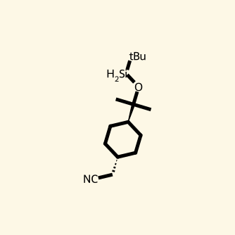 CC(C)(C)[SiH2]OC(C)(C)[C@H]1CC[C@H](CC#N)CC1